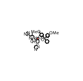 COc1ccc(C(OC[C@@]23CN(c4ccncn4)[C@@H]([C@H](n4cc(C)c(-n5cncn5)nc4=O)O2)[C@@H]3CC(=O)O)(c2ccccc2)c2ccc(OC)cc2)cc1